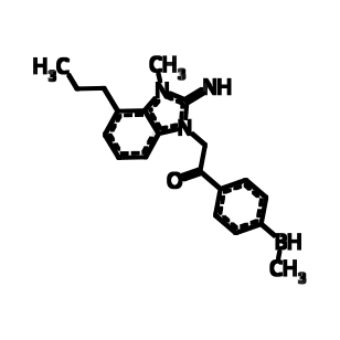 CBc1ccc(C(=O)Cn2c(=N)n(C)c3c(CCC)cccc32)cc1